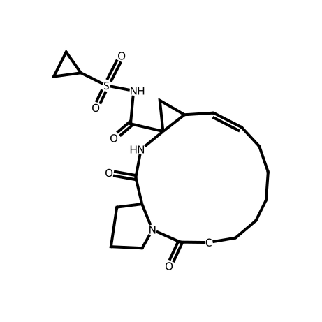 O=C1NC2(C(=O)NS(=O)(=O)C3CC3)CC2/C=C\CCCCCCC(=O)N2CCCC12